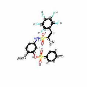 COc1ccc(NS(=O)(=O)/C(C#N)=C\c2c(F)c(F)c(F)c(F)c2F)cc1OS(=O)(=O)c1ccc(C)cc1